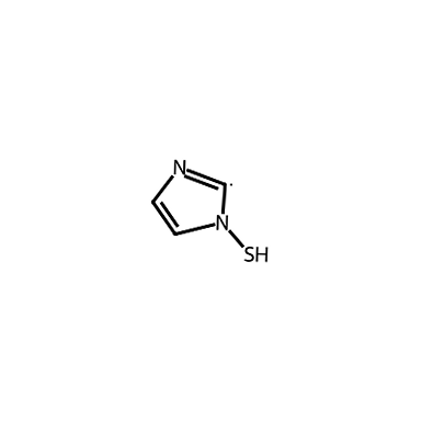 Sn1[c]ncc1